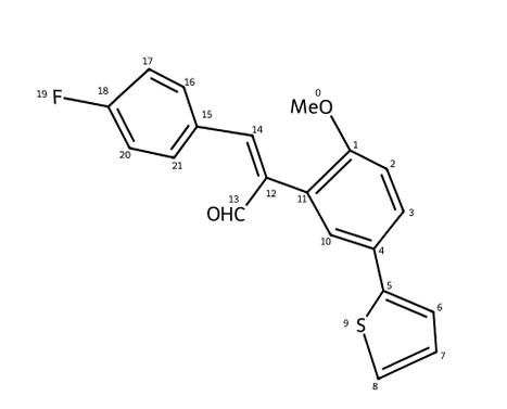 COc1ccc(-c2cccs2)cc1C(C=O)=Cc1ccc(F)cc1